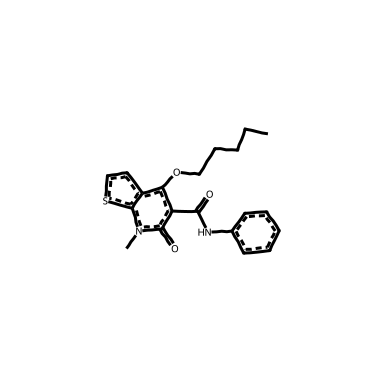 CCCCCOc1c(C(=O)Nc2ccccc2)c(=O)n(C)c2sccc12